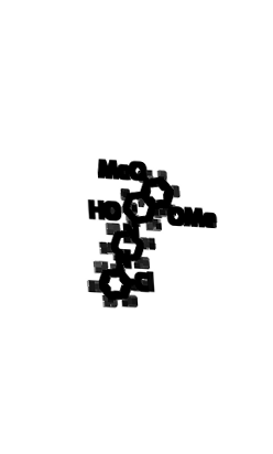 COc1ccc(OC)c2c1C[C@@H](O)[C@H](N1CCN(c3ccccc3Cl)CC1)C2